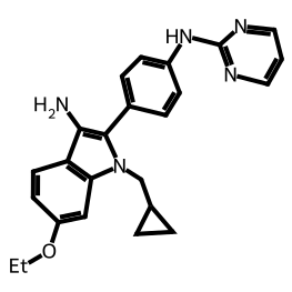 CCOc1ccc2c(N)c(-c3ccc(Nc4ncccn4)cc3)n(CC3CC3)c2c1